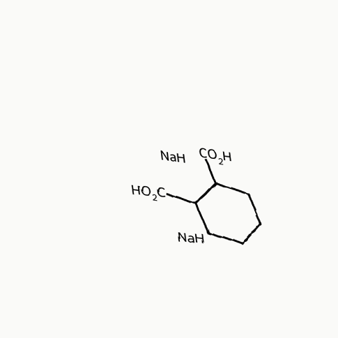 O=C(O)C1CCCCC1C(=O)O.[NaH].[NaH]